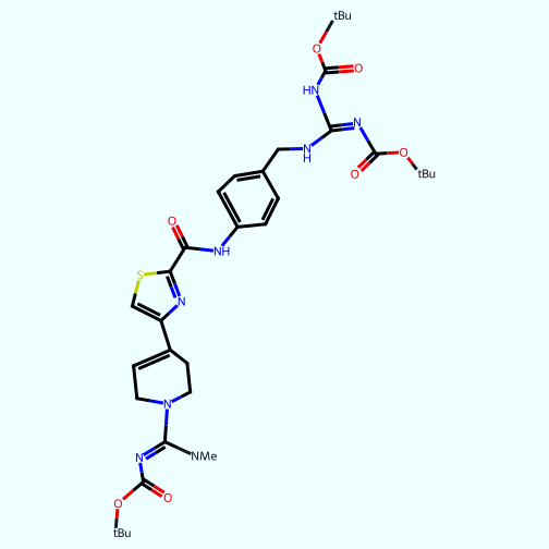 CN/C(=N\C(=O)OC(C)(C)C)N1CC=C(c2csc(C(=O)Nc3ccc(CN/C(=N\C(=O)OC(C)(C)C)NC(=O)OC(C)(C)C)cc3)n2)CC1